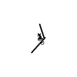 C=C(CCCCCCCCCCCCCCC)CC(CCC(=O)CCCCCCCCCCCCCCC)CCP(=C)(CCCN(C)C)OC